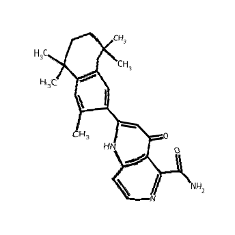 Cc1cc2c(cc1-c1cc(=O)c3c(C(N)=O)nccc3[nH]1)C(C)(C)CCC2(C)C